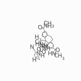 CNC(=O)c1ccc2c(c1)CCc1cc(C(=O)NC)ccc1C2(C[C@H](C)NCC(=O)N1[C@H](C#N)C[C@@H]2C[C@@H]21)c1n[nH]c(=O)[nH]1